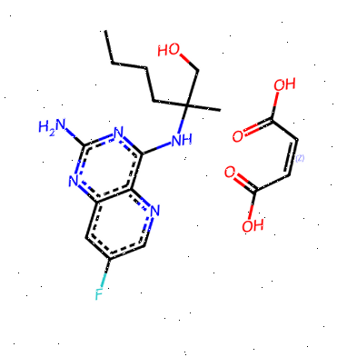 CCCCC(C)(CO)Nc1nc(N)nc2cc(F)cnc12.O=C(O)/C=C\C(=O)O